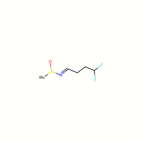 CC(C)(C)[S+]([O-])N=CCCC(F)F